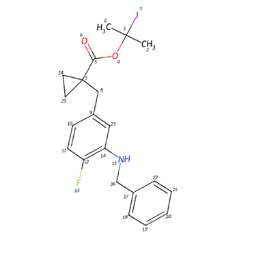 CC(C)(I)OC(=O)C1(Cc2ccc(F)c(NCc3ccccc3)c2)CC1